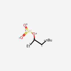 CCCCCC(CC)O[SH](=O)=O